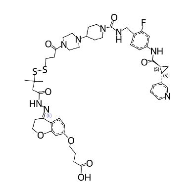 CC(C)(CC(=O)N/N=C1\CCOc2cc(OCCCC(=O)O)ccc21)SSCCC(=O)N1CCN(C2CCN(C(=O)NCc3ccc(NC(=O)[C@H]4C[C@@H]4c4cccnc4)cc3F)CC2)CC1